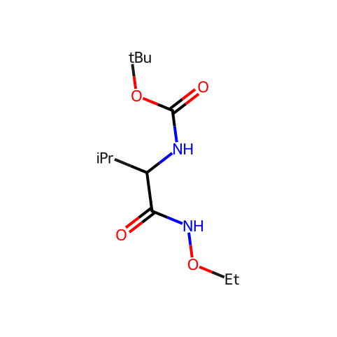 CCONC(=O)C(NC(=O)OC(C)(C)C)C(C)C